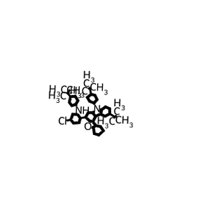 CC(C)(C)c1ccc(Nc2cc(Cl)ccc2-c2cc3c(c4cc(C(C)(C)C)ccc4n3-c3ccc(C(C)(C)C)cc3)c3c2oc2ccccc23)cc1